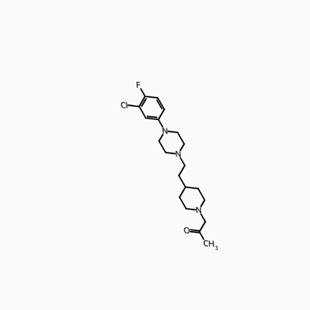 CC(=O)CN1CCC(CCN2CCN(c3ccc(F)c(Cl)c3)CC2)CC1